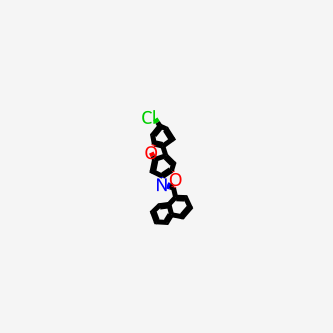 Clc1ccc2c(c1)oc1cc3nc(-c4cccc5ccccc45)oc3cc12